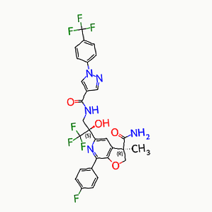 C[C@]1(C(N)=O)COc2c1cc([C@@](O)(CNC(=O)c1cnn(-c3ccc(C(F)(F)F)cc3)c1)C(F)(F)F)nc2-c1ccc(F)cc1